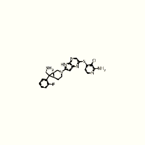 NCC1(c2ccccc2F)C2CCN(c3cc4nc(Sc5ccnc(N)c5Cl)cnc4[nH]3)CC21